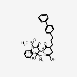 C[S@+]([O-])N(C(=O)C(NC(=O)C(CCCc1ccc(-c2ccccc2)cc1)CC(=O)O)C(C)(C)O)c1ccccc1